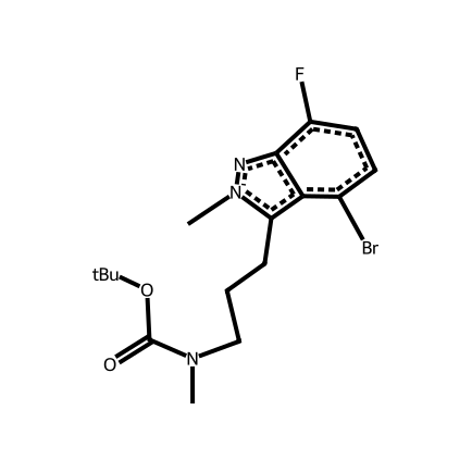 CN(CCCc1c2c(Br)ccc(F)c2nn1C)C(=O)OC(C)(C)C